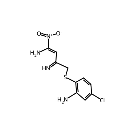 N=C(/C=C(\N)[N+](=O)[O-])CSc1ccc(Cl)cc1N